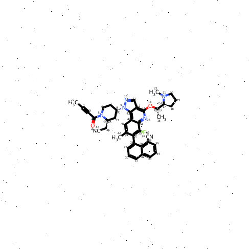 CC#CC(=O)N1CC[C@H](n2ncc3c(O[C@@H](C)[C@@H]4CCCN4C)nc4c(F)c(-c5cccc6cccc(C#N)c56)c(C)cc4c32)C[C@H]1CC#N